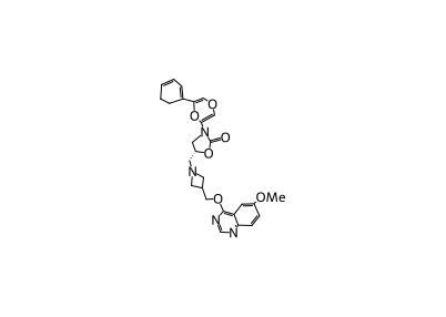 COc1ccc2ncnc(OCC3CN(C[C@@H]4CN(C5=COC=C(C6=CC=CCC6)O5)C(=O)O4)C3)c2c1